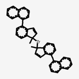 C[C]1([Zr][C]2(C)C=Cc3c(-c4cccc5ccccc45)cccc32)C=Cc2c(-c3cccc4ccccc34)cccc21